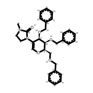 CN1CCN(C2=CO[C@H](COCc3ccccc3)[C@H](OCc3ccccc3)[C@@H]2OCc2ccccc2)C1=O